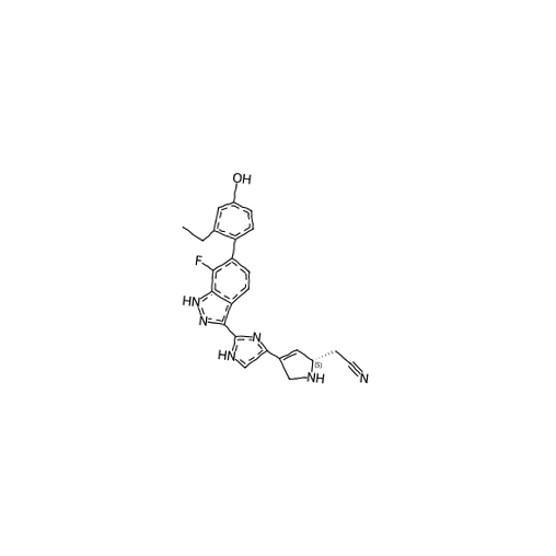 CCc1cc(O)ccc1-c1ccc2c(-c3nc(C4=C[C@H](CC#N)NC4)c[nH]3)n[nH]c2c1F